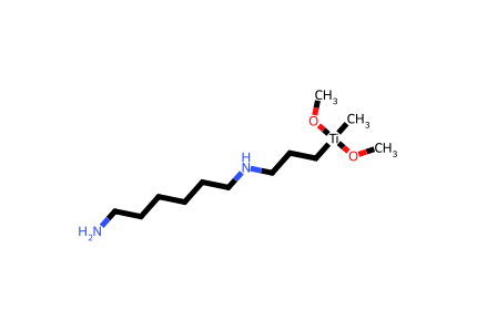 C[O][Ti]([CH3])([CH2]CCNCCCCCCN)[O]C